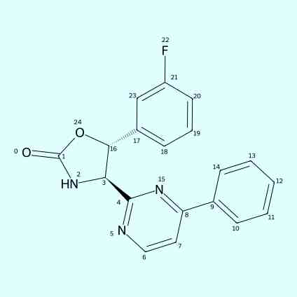 O=C1N[C@H](c2nccc(-c3ccccc3)n2)[C@@H](c2cccc(F)c2)O1